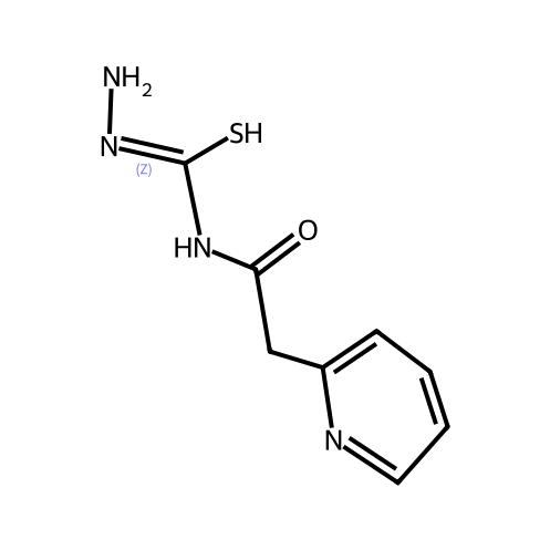 N/N=C(\S)NC(=O)Cc1ccccn1